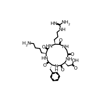 N=C(N)NCCC[C@@H]1NC(=O)[C@H](CCCCN)NC(=O)[C@@H](Cc2ccccc2)NC(=O)[C@H](CC(=O)O)NC(=O)CNC1=O